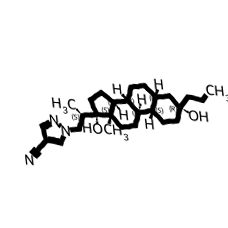 CCC[C@@]1(O)CC[C@H]2[C@H](CC[C@@H]3[C@@H]2CC[C@@]2(C)[C@H]3CC[C@]2(O)[C@@H](C)Cn2cc(C#N)cn2)C1